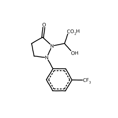 O=C(O)C(O)N1C(=O)CCN1c1cccc(C(F)(F)F)c1